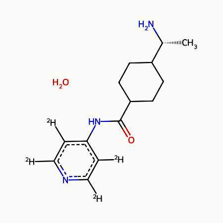 O.[2H]c1nc([2H])c([2H])c(NC(=O)C2CCC([C@@H](C)N)CC2)c1[2H]